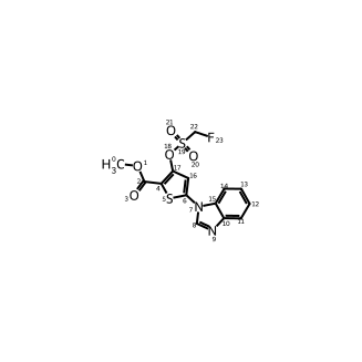 COC(=O)c1sc(-n2cnc3ccccc32)cc1OS(=O)(=O)CF